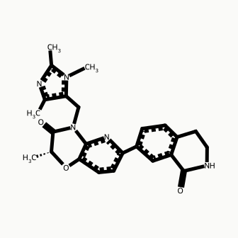 Cc1nc(C)n(C)c1CN1C(=O)[C@@H](C)Oc2ccc(-c3ccc4c(c3)C(=O)NCC4)nc21